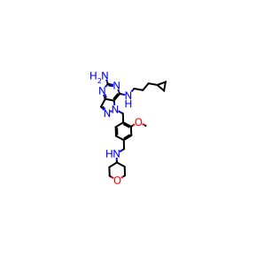 COc1cc(CNC2CCOCC2)ccc1Cn1ncc2nc(N)nc(NCCCC3CC3)c21